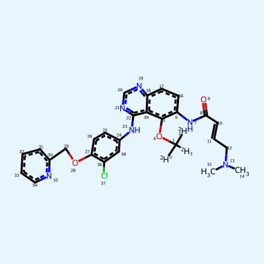 [2H]C([2H])([2H])Oc1c(NC(=O)/C=C/CN(C)C)ccc2ncnc(Nc3ccc(OCc4ccccn4)c(Cl)c3)c12